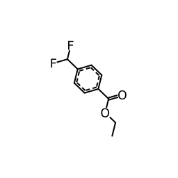 CCOC(=O)c1ccc(C(F)F)cc1